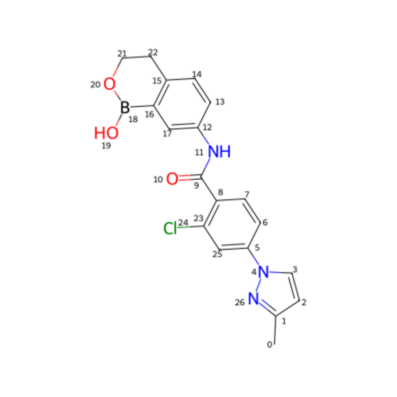 Cc1ccn(-c2ccc(C(=O)Nc3ccc4c(c3)B(O)OCC4)c(Cl)c2)n1